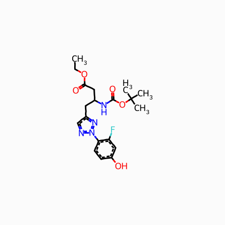 CCOC(=O)CC(Cc1cnn(-c2ccc(O)cc2F)n1)NC(=O)OC(C)(C)C